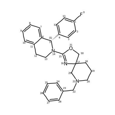 Fc1ccc([C@H]2c3ccccc3CCN2C2=NC3(CCCN(Cc4ccccc4)C3)CO2)cc1